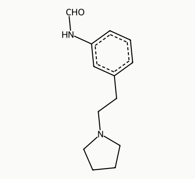 O=CNc1cccc(CCN2CCCC2)c1